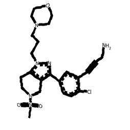 CS(=O)(=O)N1CCc2c(c(-c3ccc(Cl)c(C#CCN)c3)nn2CCCN2CCOCC2)C1